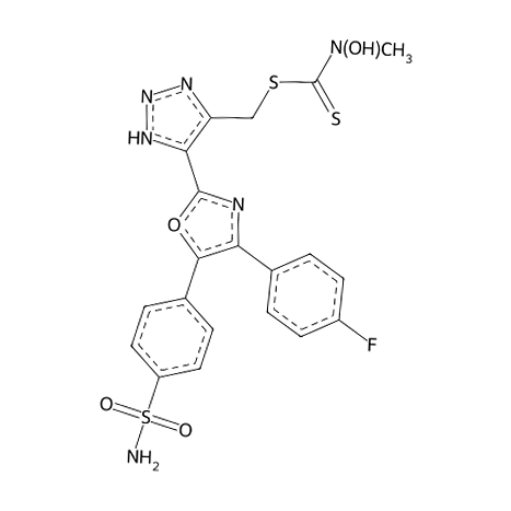 CN(O)C(=S)SCc1nn[nH]c1-c1nc(-c2ccc(F)cc2)c(-c2ccc(S(N)(=O)=O)cc2)o1